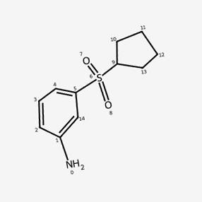 Nc1cccc(S(=O)(=O)C2CCCC2)c1